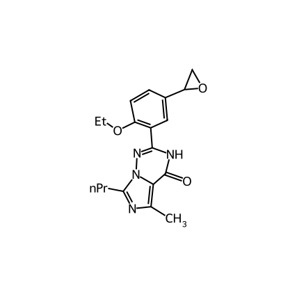 CCCc1nc(C)c2c(=O)[nH]c(-c3cc(C4CO4)ccc3OCC)nn12